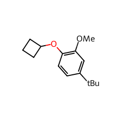 COc1cc(C(C)(C)C)ccc1OC1CCC1